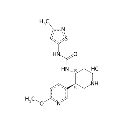 COc1ccc([C@@H]2CNCC[C@H]2NC(=O)Nc2cc(C)ns2)cn1.Cl